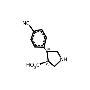 N#Cc1ccc([C@@H]2CNC[C@H]2C(=O)O)cc1